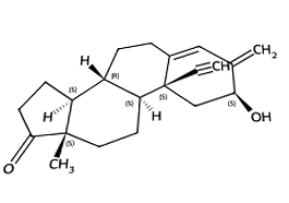 C#C[C@]12C[C@H](O)C(=C)C=C1CC[C@@H]1[C@@H]2CC[C@]2(C)C(=O)CC[C@@H]12